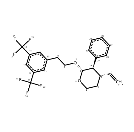 C=C[C@@H]1CCO[C@H](OCCc2cc(C(F)(F)F)cc(C(F)(F)F)c2)[C@H]1c1ccccc1